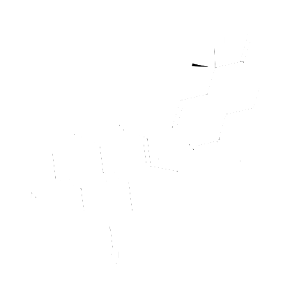 CC[C@@]1(O)C(=O)OCc2c1cc1n(c2=O)Cc2c-1nc1ccc(N)c3c1c2C=C(C)S3